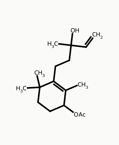 C=CC(C)(O)CCC1=C(C)C(OC(C)=O)CCC1(C)C